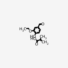 C=C(C)C(=O)O.CCOc1cc(C=O)ccc1O